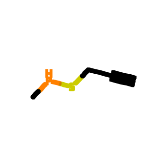 C#CCSPC